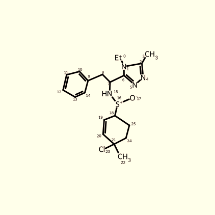 CCn1c(C)nnc1C(Cc1ccccc1)N[S+]([O-])C1C=CC(C)(Cl)CC1